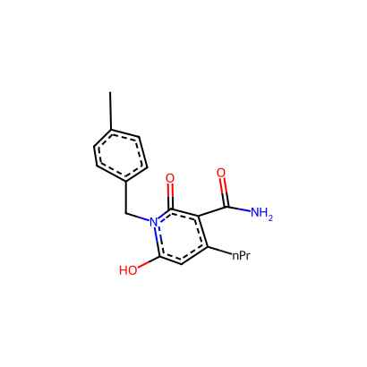 CCCc1cc(O)n(Cc2ccc(C)cc2)c(=O)c1C(N)=O